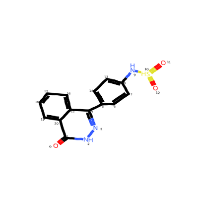 O=c1[nH]nc(-c2ccc(N[SH](=O)=O)cc2)c2ccccc12